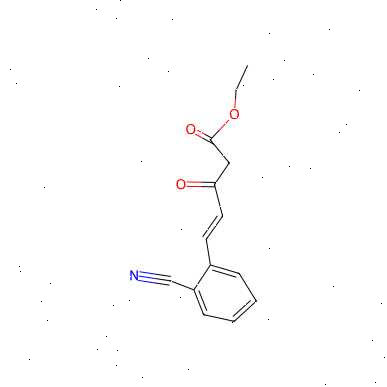 CCOC(=O)CC(=O)C=Cc1ccccc1C#N